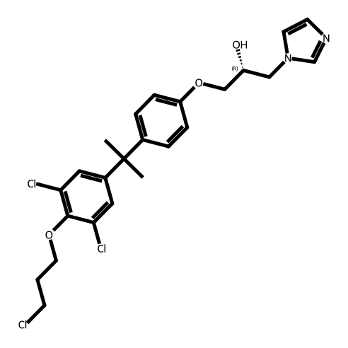 CC(C)(c1ccc(OC[C@H](O)Cn2ccnc2)cc1)c1cc(Cl)c(OCCCCl)c(Cl)c1